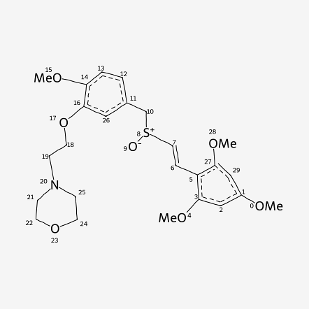 COc1cc(OC)c(C=C[S+]([O-])Cc2ccc(OC)c(OCCN3CCOCC3)c2)c(OC)c1